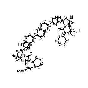 COC(=O)N[C@H](C(=O)N1[C@@H]2C[C@@H]2C[C@H]1c1nc2cc(-c3ccc4cc(-c5c[nH]c([C@@H]6C[C@H]7C[C@H]7N6C(=O)[C@H](C6CCOCC6)N(C)C(=O)O)n5)ccc4c3)ccc2[nH]1)C1CCOCC1